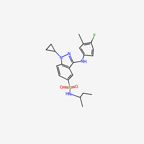 CCC(C)NS(=O)(=O)c1ccc2c(c1)c(Nc1ccc(F)c(C)c1)nn2C1CC1